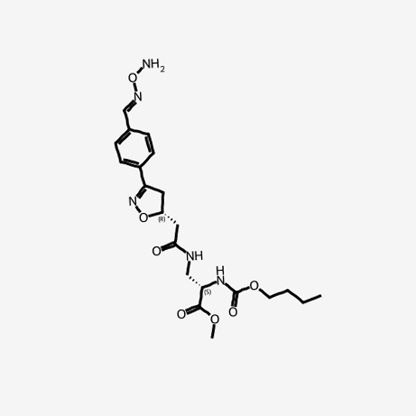 CCCCOC(=O)N[C@@H](CNC(=O)C[C@H]1CC(c2ccc(C=NON)cc2)=NO1)C(=O)OC